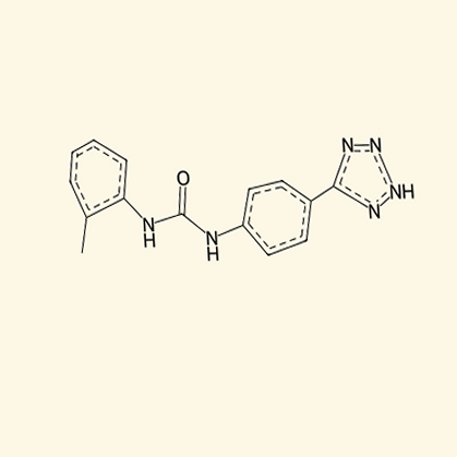 Cc1ccccc1NC(=O)Nc1ccc(-c2nn[nH]n2)cc1